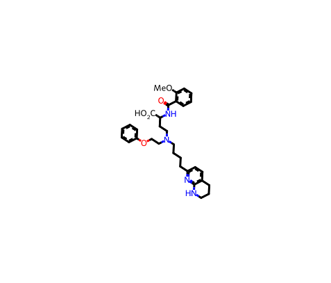 COc1ccccc1C(=O)NC(CCN(CCCCc1ccc2c(n1)NCCC2)CCOc1ccccc1)C(=O)O